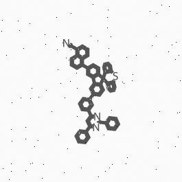 N#Cc1cccc2c(-c3ccc4c(c3)-c3cc(-c5cccc(-c6cc(-c7ccccc7)nc(-c7ccccc7)n6)c5)ccc3C43c4ccccc4Sc4ccccc43)cccc12